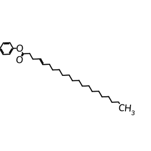 CCCCCCCCCCCCCCCCC=CCCC(=O)Oc1ccccc1